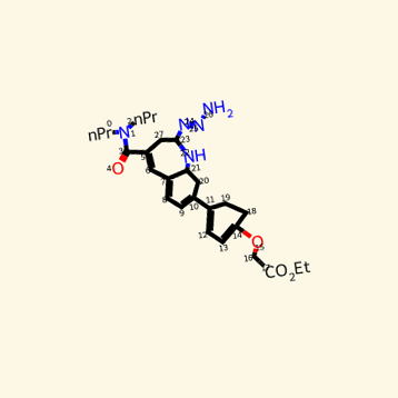 CCCN(CCC)C(=O)C1=CC2=CC=C(C3=CC=C(OCC(=O)OCC)CC3)CC2NC(N=NN)C1